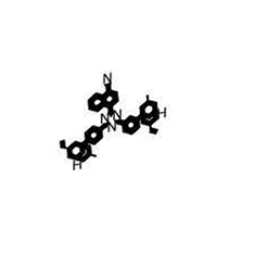 CC[C@@H]1C[C@@H]2C[C@H](C)CC(c3ccc(-c4nc(-c5cccc(C67C[C@@H](C)C[C@@H](C[C@@H](CC)C6)C7)c5)nc(-c5ccc(C#N)c6ccccc56)n4)cc3)(C1)C2